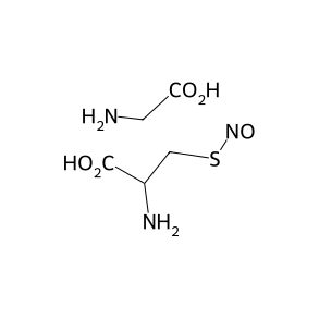 NC(CSN=O)C(=O)O.NCC(=O)O